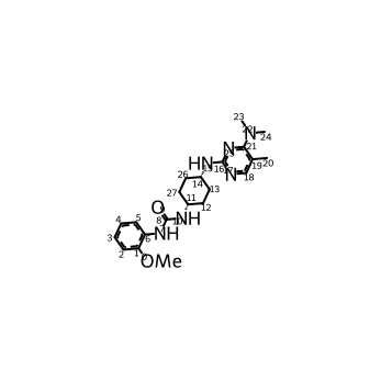 COc1ccccc1NC(=O)N[C@H]1CC[C@@H](Nc2ncc(C)c(N(C)C)n2)CC1